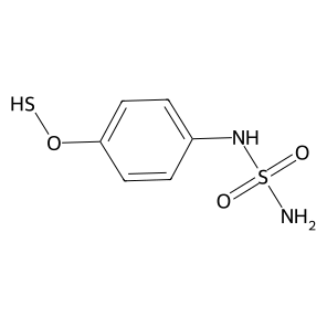 NS(=O)(=O)Nc1ccc(OS)cc1